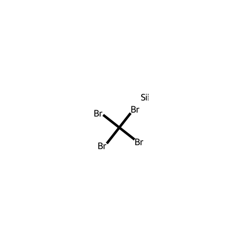 BrC(Br)(Br)Br.[Si]